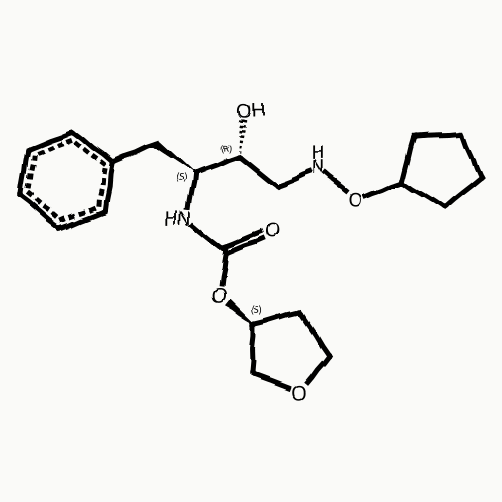 O=C(N[C@@H](Cc1ccccc1)[C@H](O)CNOC1CCCC1)O[C@H]1CCOC1